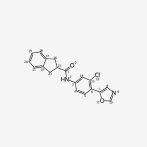 O=C(Nc1ccc(-c2cnco2)c(Cl)c1)C1Cc2ccccc2C1